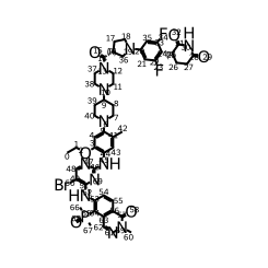 CCOc1cc(N2CCC(N3CCN(C(=O)[C@@H]4CCN(c5cc(F)c([C@H]6CCC(=O)NC6=O)c(F)c5)C4)CC3)CC2)c(C)cc1Nc1ncc(Br)c(Nc2ccc3c(=O)n(C)ncc3c2P(C)(C)=O)n1